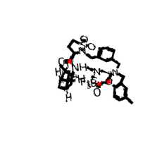 Cc1ccc(OC(=O)C(F)(F)F)c(CN(Cc2cccc(CN3C(C(=O)N[C@H]4C[C@H]5C[C@@H]([C@@H]4C)C5(C)C)CCS3(=O)=O)c2)[C@H](CN(C)C)CC(C)(C)C)c1